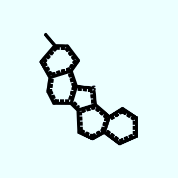 Cc1ccc2c(ccc3c4ccc5ccccc5c4sc23)c1